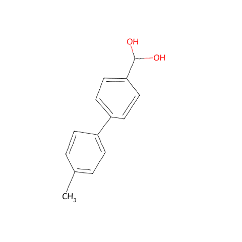 Cc1ccc(-c2ccc(C(O)O)cc2)cc1